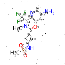 CN(C(=O)C12CC(NS(C)(=O)=O)(C1)C2)[C@@H](c1ccc(N)cn1)C(F)(F)F